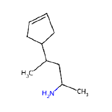 CC(N)CC(C)C1CC=CC1